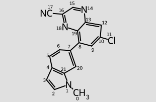 Cn1ccc2ccc(-c3cc(Cl)cc4ncc(C#N)nc34)cc21